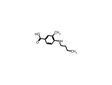 CCCCNc1ccc(C(=O)O)cc1C